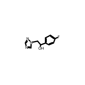 OC(Cn1cncn1)c1ccc(F)cc1